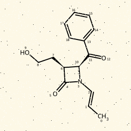 CC=CN1C(=O)[C@@H](CCO)[C@H]1C(=O)c1ccccc1